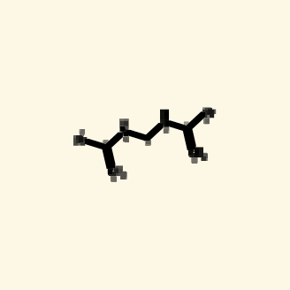 C=C(NCNC(=C)C(C)C)C(C)C